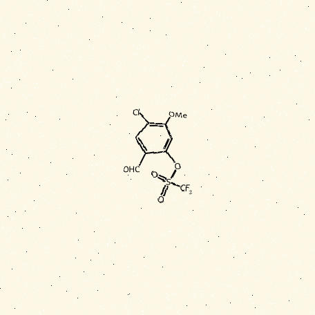 COc1cc(OS(=O)(=O)C(F)(F)F)c(C=O)cc1Cl